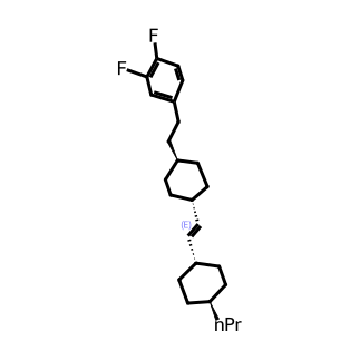 CCC[C@H]1CC[C@H](/C=C/[C@H]2CC[C@H](CCc3ccc(F)c(F)c3)CC2)CC1